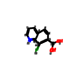 OB(O)c1ccc2cccnc2c1F